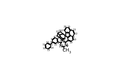 Cc1nc(-c2cccc(-c3ccccc3)c2)nc(-c2ccc3ccc4cccc5c4c3c2C52C3CC4CC(C3)CC2C4)n1